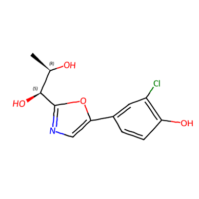 C[C@@H](O)[C@H](O)c1ncc(-c2ccc(O)c(Cl)c2)o1